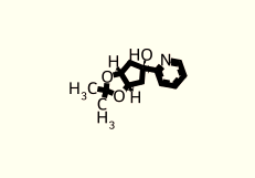 CC1(C)O[C@H]2C[C@](O)(c3ccccn3)C[C@H]2O1